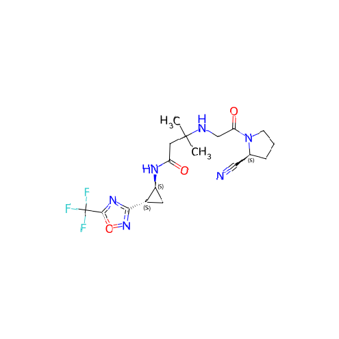 CC(C)(CC(=O)N[C@H]1C[C@@H]1c1noc(C(F)(F)F)n1)NCC(=O)N1CCC[C@H]1C#N